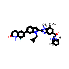 COc1cc(C(=O)N2C[C@H]3CC[C@@H]2[C@@H]3N)cc2nc(-c3cc4ccc(-c5cc(F)c6c(c5)CCC(=O)N6)cc4n3CC3CC3)n(C)c12